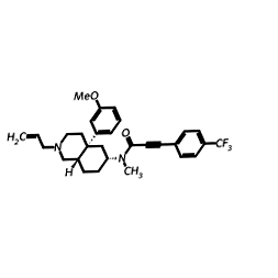 C=CCN1CC[C@@]2(c3cccc(OC)c3)C[C@H](N(C)C(=O)C#Cc3ccc(C(F)(F)F)cc3)CC[C@@H]2C1